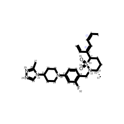 C=C/C(=C\C=C/C)C1CC[C@H](C)N(Cc2ccc(N3CCC(n4cnnc4C)CC3)cc2F)S1(=O)=O